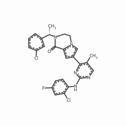 Cc1cnc(Nc2ccc(F)cc2Cl)nc1-c1cc2n(c1)CCN([C@@H](C)c1cccc(Cl)c1)C2=O